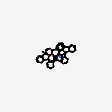 CC1(C)c2ccccc2-c2ccc(N(c3ccccc3-c3ccccc3)c3ccccc3C34c5ccccc5-c5cccc(c53)-c3cc(-c5ccccc5)ccc34)cc21